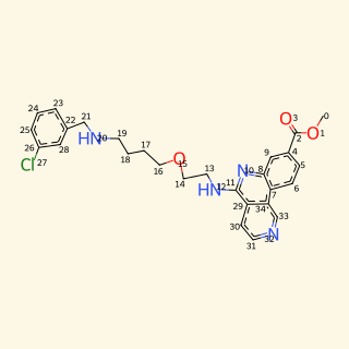 COC(=O)c1ccc2c(c1)nc(NCCOCCCCNCc1cccc(Cl)c1)c1ccncc12